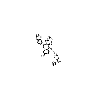 COc1ccc(C2Sc3cc(Cl)ccc3N(CCCN3CCN(C(=O)c4ccco4)CC3)C(=O)C2OC(C)=O)cc1